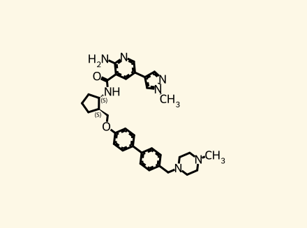 CN1CCN(Cc2ccc(-c3ccc(OC[C@H]4CCC[C@@H]4NC(=O)c4cc(-c5cnn(C)c5)cnc4N)cc3)cc2)CC1